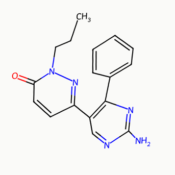 CCCn1nc(-c2cnc(N)nc2-c2ccccc2)ccc1=O